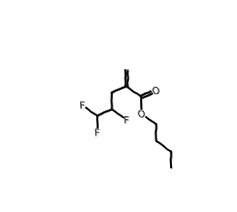 C=C(CC(F)C(F)F)C(=O)OCCCC